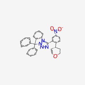 O=[N+]([O-])c1ccc(C2C=COCC2)c(-c2nnn(C(c3ccccc3)(c3ccccc3)c3ccccc3)n2)c1